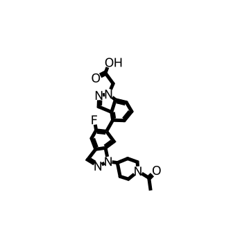 CC(=O)N1CCC(n2ncc3cc(F)c(-c4cccc5c4cnn5CC(=O)O)cc32)CC1